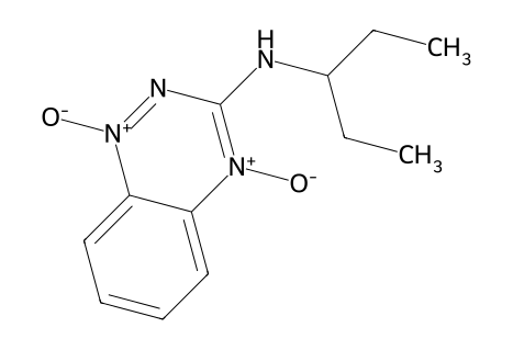 CCC(CC)Nc1n[n+]([O-])c2ccccc2[n+]1[O-]